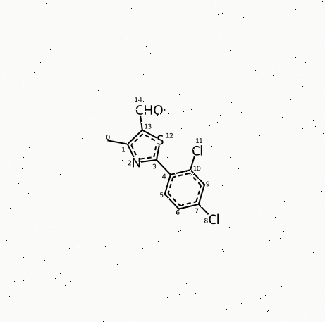 Cc1nc(-c2ccc(Cl)cc2Cl)sc1[C]=O